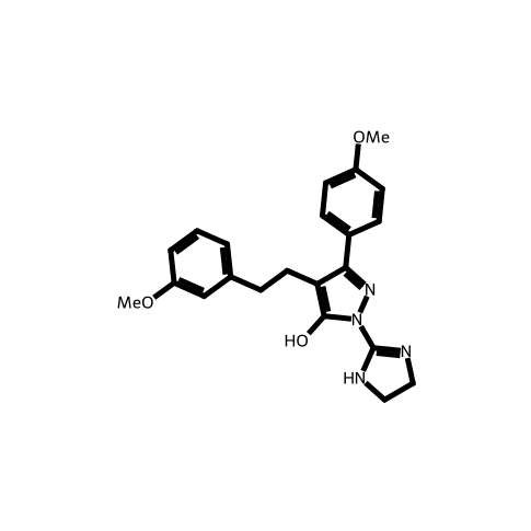 COc1ccc(-c2nn(C3=NCCN3)c(O)c2CCc2cccc(OC)c2)cc1